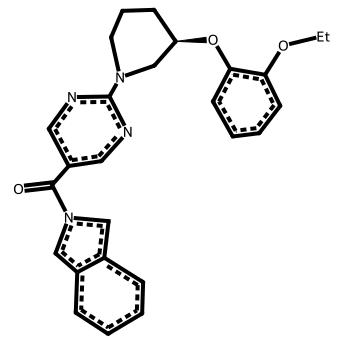 CCOc1ccccc1O[C@@H]1CCCN(c2ncc(C(=O)n3cc4ccccc4c3)cn2)C1